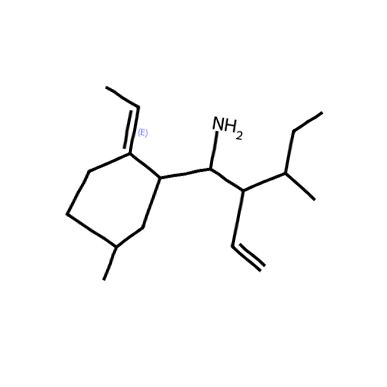 C=CC(C(C)CC)C(N)C1CC(C)CC/C1=C\C